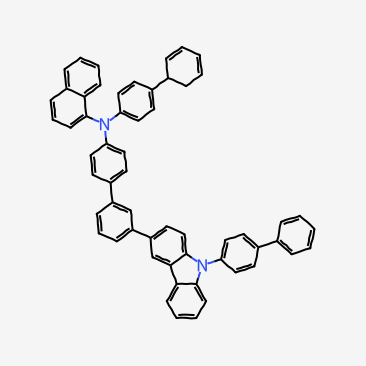 C1=CCC(c2ccc(N(c3ccc(-c4cccc(-c5ccc6c(c5)c5ccccc5n6-c5ccc(-c6ccccc6)cc5)c4)cc3)c3cccc4ccccc34)cc2)C=C1